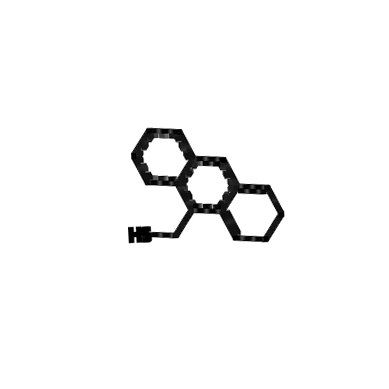 SCc1c2c(cc3ccccc13)=CCCC=2